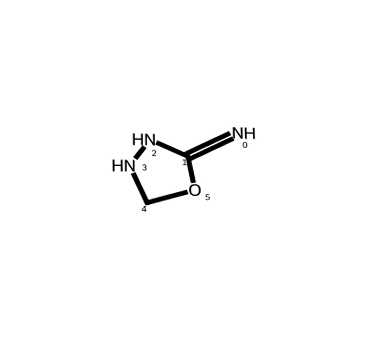 N=C1NNCO1